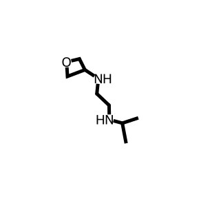 CC(C)NCCNC1COC1